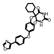 O=C1NC(=O)C(Oc2ccc(Oc3ccc(-c4cocn4)cc3)cc2)(C2CCCCC2)C(=O)N1